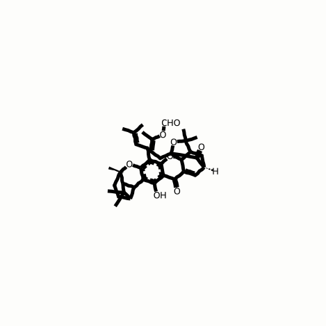 CC(C)=CCc1c2c(c(O)c3c1O[C@@]1(C)CCC4C3C1C4(C)C)C(=O)C1=C[C@@H]3CC4C(C)(C)OC(C/C=C(/C)OC=O)(C3=O)[C@@]14O2